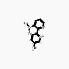 CC[S+]([O-])c1cccnc1-c1ccc(O)cn1